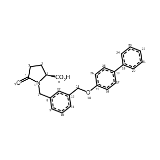 O=C(O)[C@@H]1CCC(=O)N1Cc1cccc(COc2ccc(-c3ccccc3)cc2)c1